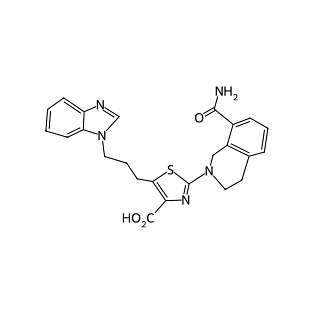 NC(=O)c1cccc2c1CN(c1nc(C(=O)O)c(CCCn3cnc4ccccc43)s1)CC2